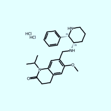 COc1cc2c(cc1CN[C@H]1CCCN[C@H]1c1ccccc1)N(C(C)C)C(=O)CC2.Cl.Cl